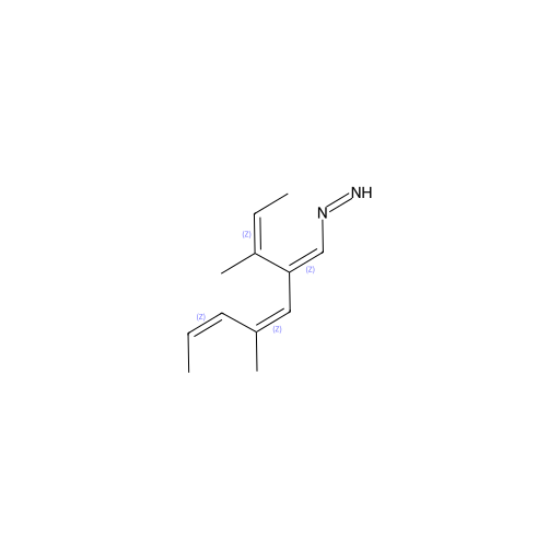 C\C=C/C(C)=C\C(=C\N=N)C(\C)=C/C